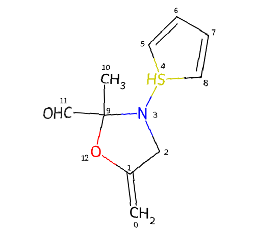 C=C1CN([SH]2C=CC=C2)C(C)(C=O)O1